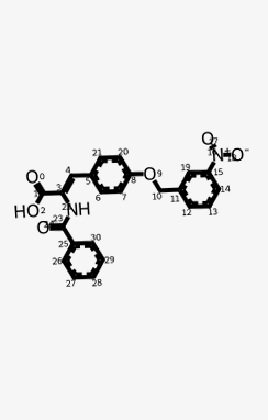 O=C(O)/C(=C/c1ccc(OCc2cccc([N+](=O)[O-])c2)cc1)NC(=O)c1ccccc1